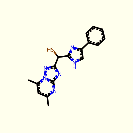 Cc1cc(C)n2nc(C(S)c3nc(-c4ccccc4)c[nH]3)nc2n1